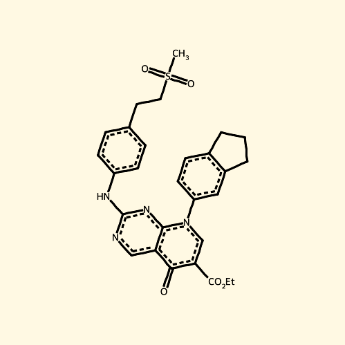 CCOC(=O)c1cn(-c2ccc3c(c2)CCC3)c2nc(Nc3ccc(CCS(C)(=O)=O)cc3)ncc2c1=O